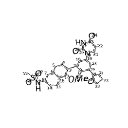 COc1c(-c2ccc3cc(NS(C)(=O)=O)ccc3c2)cc(-n2ccc(=O)[nH]c2=O)cc1-c1ccco1